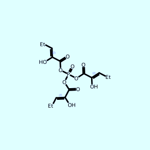 CC/C=C(\O)C(=O)OP(=O)(OC(=O)/C(O)=C/CC)OC(=O)/C(O)=C/CC